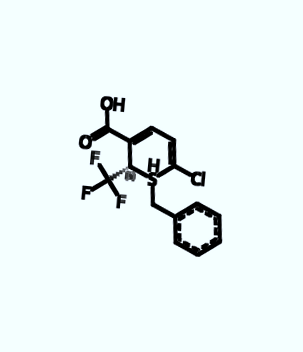 O=C(O)C1=CC=C(Cl)[SH](Cc2ccccc2)[C@@H]1C(F)(F)F